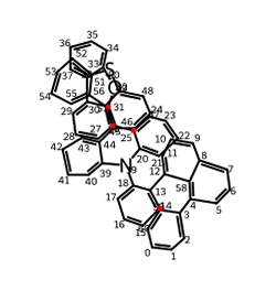 c1ccc(-c2cccc3cccc(-c4ccccc4N(c4ccccc4-c4cccc5c4oc4ccccc45)c4ccccc4-c4cccc5sc6ccccc6c45)c23)cc1